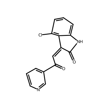 O=C1Nc2cccc(Cl)c2C1=CC(=O)c1cccnc1